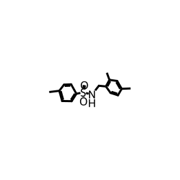 Cc1ccc(S(=O)(=O)NCc2ccc(C)cc2C)cc1